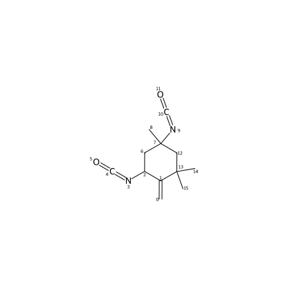 C=C1C(N=C=O)CC(C)(N=C=O)CC1(C)C